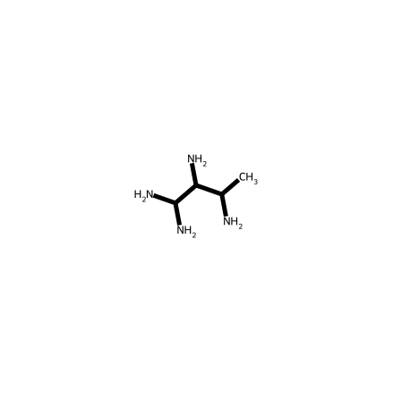 CC(N)C(N)C(N)N